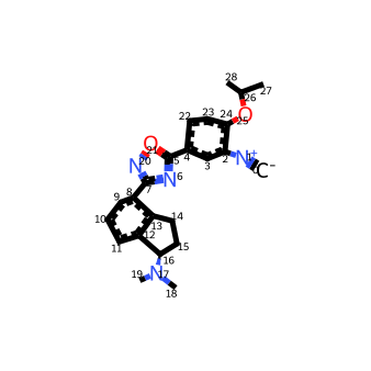 [C-]#[N+]c1cc(-c2nc(-c3cccc4c3CC[C@H]4N(C)C)no2)ccc1OC(C)C